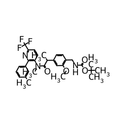 COc1cc(C(C)C(=O)N(C)c2ccc(C(F)(F)F)nc2-c2cccc(C)c2)ccc1CNC(=O)OC(C)(C)C